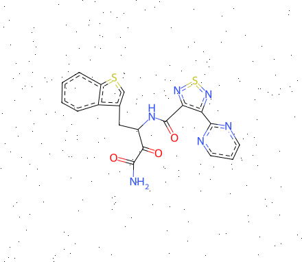 NC(=O)C(=O)C(Cc1csc2ccccc12)NC(=O)c1nsnc1-c1ncccn1